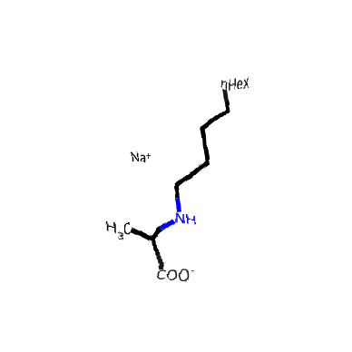 CCCCCCCCCCNC(C)C(=O)[O-].[Na+]